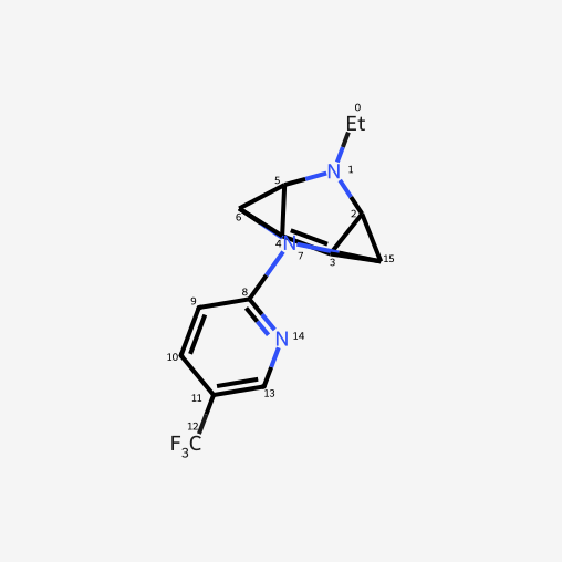 CCN1C2C3=C4C1C4N(c1ccc(C(F)(F)F)cn1)C32